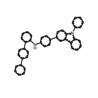 c1ccc(-c2ccc(-c3ccccc3Nc3ccc(-c4ccc5c(c4)c4ccccc4n5-c4ccccc4)cc3)cc2)cc1